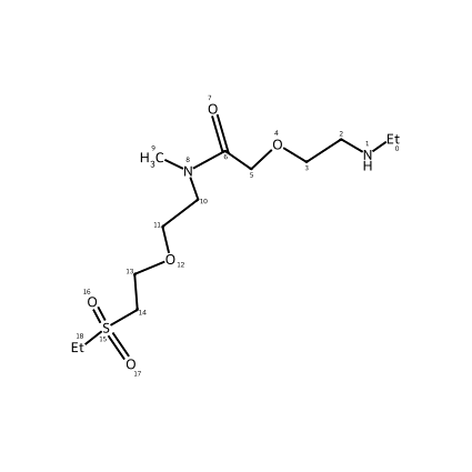 CCNCCOCC(=O)N(C)CCOCCS(=O)(=O)CC